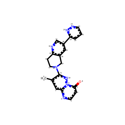 Cc1cc2nccc(=O)n2nc1N1CCc2ncc(-c3cccnn3)cc2C1